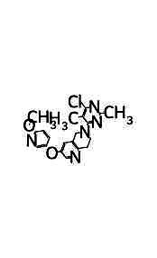 COc1ccc(Oc2cnc3c(c2)CN(c2nc(C)nc(Cl)c2C)CC3)cn1